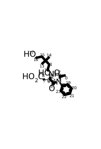 C[C@@H](C(=O)O)N(C(=O)[C@H](CC(=O)O)NCCC(C)(C)CCO)c1ccccc1